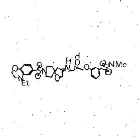 CCN1CCOc2ccc(S(=O)(=O)N3CCC4(CC3)C[C@@H](NC[C@H](O)COc3cccc(S(=O)(=O)NC)c3)CO4)cc21